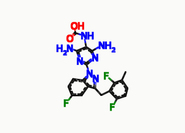 Cc1ccc(F)c(Cc2nn(-c3nc(N)c(NC(=O)O)c(N)n3)c3ccc(F)cc23)c1F